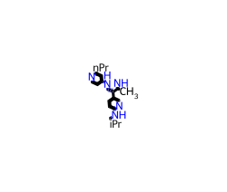 CCCc1cc(N/C=C(\C(C)=N)c2ccc(NCC(C)C)nc2)ccn1